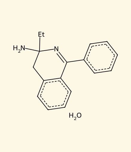 CCC1(N)Cc2ccccc2C(c2ccccc2)=N1.O